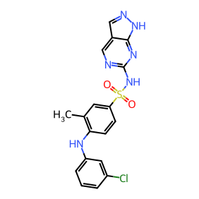 Cc1cc(S(=O)(=O)Nc2ncc3cn[nH]c3n2)ccc1Nc1cccc(Cl)c1